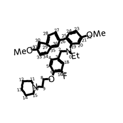 CCN(Cc1ccc(OCCN2CCCCC2)c(F)c1)c1cc(OC)ccc1-c1ccc2cc(OC)ccc2c1